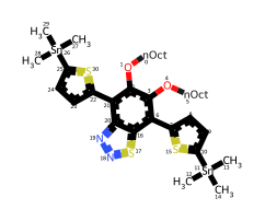 CCCCCCCCOc1c(OCCCCCCCC)c(-c2cc[c]([Sn]([CH3])([CH3])[CH3])s2)c2snnc2c1-c1cc[c]([Sn]([CH3])([CH3])[CH3])s1